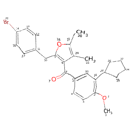 COc1ccc(C(=O)c2c(Cc3ccc(Br)cc3)oc(C)c2C)cc1C1CCCC1